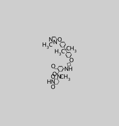 Cc1nccc(Oc2ccc(C(C)(C)c3ccc(O[C@H]4C[C@@H](Nc5ccc(C=O)c(C(=O)N(C)C6CCC(=O)NC6=O)c5)C4)cc3)cc2)n1